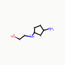 NC1CCC(NCCO)C1